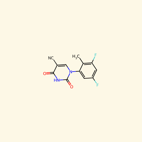 Cc1c(F)cc(F)cc1-n1cc(C#N)c(=O)[nH]c1=O